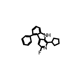 Fc1cc2c([nH]c3cccc(-c4ccccc4)c32)c(C2CCCC2)n1